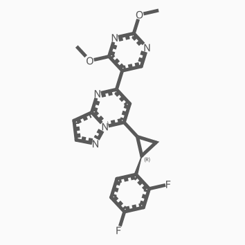 COc1ncc(-c2cc(C3C[C@H]3c3ccc(F)cc3F)n3nccc3n2)c(OC)n1